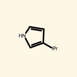 CC(C)c1c[c][nH]c1